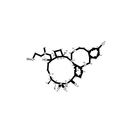 COCCN(C)CC1(O)CCC[C@H](C)[C@@H](C)S(=O)(=O)NC(=O)c2ccc3c(c2)N(CCCCc2cc(Cl)ccc2CO3)C[C@@H]2CC[C@H]21